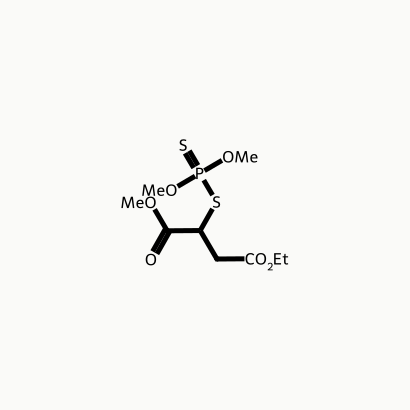 CCOC(=O)CC(SP(=S)(OC)OC)C(=O)OC